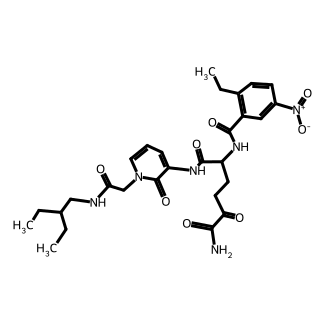 CCc1ccc([N+](=O)[O-])cc1C(=O)NC(CCC(=O)C(N)=O)C(=O)Nc1cccn(CC(=O)NCC(CC)CC)c1=O